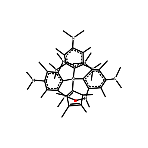 CC1=C(C)C(C)C([Si](c2c(N(C)C)c(C)c(N(C)C)c(C)c2N(C)C)(c2c(N(C)C)c(C)c(N(C)C)c(C)c2N(C)C)c2c(N(C)C)c(C)c(N(C)C)c(C)c2N(C)C)=C1C